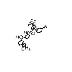 COc1cccc(C(O)c2cccc(NC(=O)c3cc(C(F)(F)F)nn3-c3cccc(C#N)c3)c2)c1